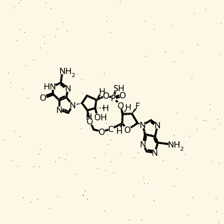 Nc1nc2c(ncn2[C@@H]2C[C@@H]3OP(=O)(S)O[C@H]4[C@@H](F)[C@H](n5cnc6c(N)ncnc65)O[C@@H]4COCO[C@@H]2[C@@H]3O)c(=O)[nH]1